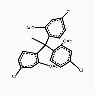 CC(=O)Oc1cc(Cl)ccc1C(C)(c1ccc(Cl)cc1OC(C)=O)c1ccc(Cl)cc1OC(C)=O